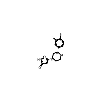 O=c1cc([C@H]2CCN[C@@H](c3ccc(F)c(F)c3)C2)o[nH]1